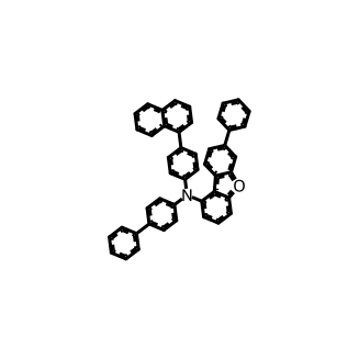 c1ccc(-c2ccc(N(c3ccc(-c4cccc5ccccc45)cc3)c3cccc4oc5cc(-c6ccccc6)ccc5c34)cc2)cc1